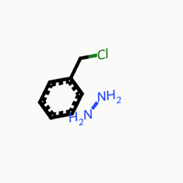 ClCc1ccccc1.NN